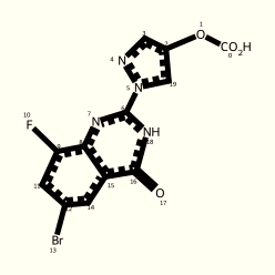 O=C(O)Oc1cnn(-c2nc3c(F)cc(Br)cc3c(=O)[nH]2)c1